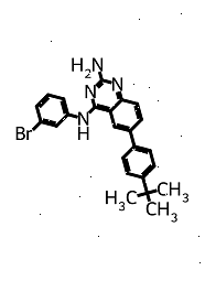 CC(C)(C)c1ccc(-c2ccc3nc(N)nc(Nc4cccc(Br)c4)c3c2)cc1